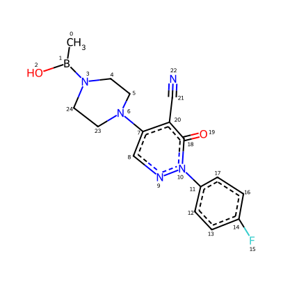 CB(O)N1CCN(c2cnn(-c3ccc(F)cc3)c(=O)c2C#N)CC1